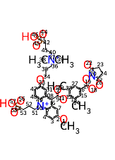 COc1ccc2c(c1)c(C(=O)Oc1c(C)cc(C(=O)ON3C(=O)CCC3=O)cc1C)c1cc(OCCC[N+](C)(C)CCCS(=O)(=O)O)ccc1[n+]2CCCS(=O)(=O)O